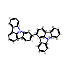 c1ccc2c(c1)c1cccc3c4ccc(-c5ccc6c7ccccc7n7c8ccccc8c5c67)cc4n2c13